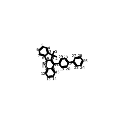 CC1(C)c2ccccc2-c2nc3ccccc3c(-c3ccc(-c4ccccc4)cc3)c21